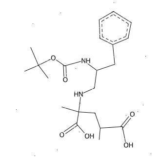 CC(CC(C)(NCC(Cc1ccccc1)NC(=O)OC(C)(C)C)C(=O)O)C(=O)O